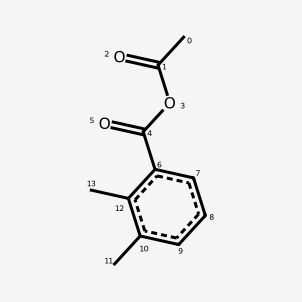 CC(=O)OC(=O)c1cccc(C)c1C